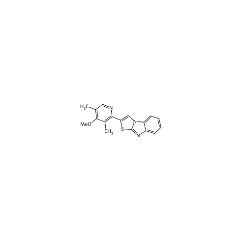 COc1c(C)cnc(-c2cn3c(nc4ccccc43)s2)c1C